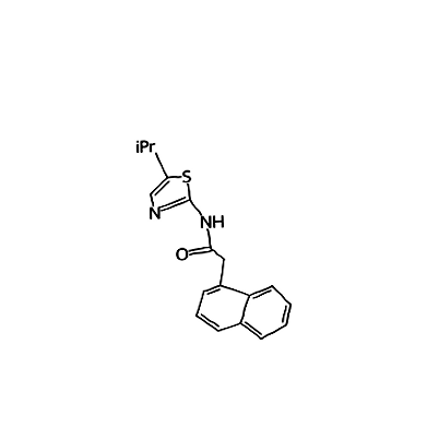 CC(C)c1cnc(NC(=O)Cc2cccc3ccccc23)s1